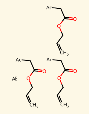 C=CCOC(=O)CC(C)=O.C=CCOC(=O)CC(C)=O.C=CCOC(=O)CC(C)=O.[Al]